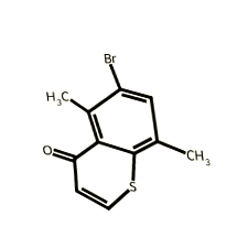 Cc1cc(Br)c(C)c2c(=O)ccsc12